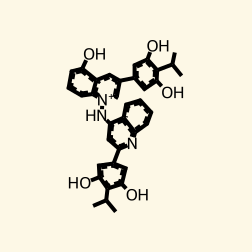 CC(C)c1c(O)cc(-c2cc3c(O)cccc3[n+](Nc3cc(-c4cc(O)c(C(C)C)c(O)c4)nc4ccccc34)c2)cc1O